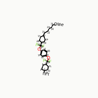 CCCC1CCC(C(F)(F)Oc2ccc(OC(F)(F)C3CCC(CCCCCOC)CC3)cc2)CC1